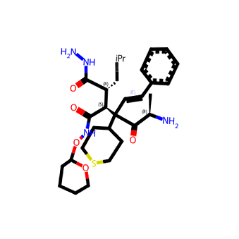 CC(C)C[C@@H](C(=O)NN)[C@H](C(=O)NOC1CCCCO1)C(/C=C/c1ccccc1)(C(=O)[C@@H](C)N)C1CCSCC1